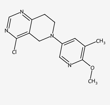 COc1ncc(N2CCc3ncnc(Cl)c3C2)cc1C